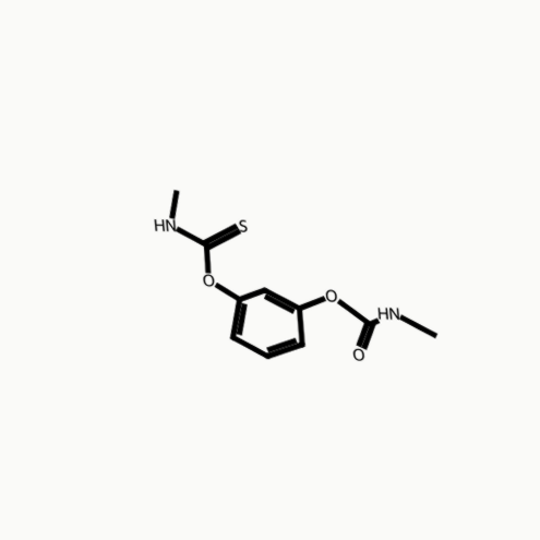 CNC(=O)Oc1cccc(OC(=S)NC)c1